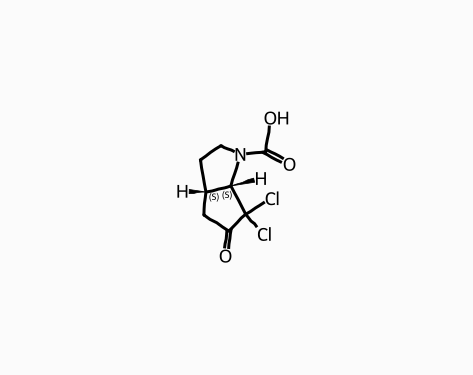 O=C(O)N1CC[C@H]2CC(=O)C(Cl)(Cl)[C@H]21